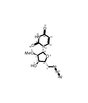 CO[C@@H]1[C@H](O)[C@@H](CN=[N+]=[N-])O[C@H]1n1ccc(=O)[nH]c1=O